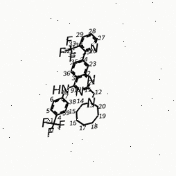 FC(F)(F)c1ccc(Nc2nc(CN3CCCCCCC3)nc3cc(-c4ncccc4C(F)(F)F)ccc23)cc1